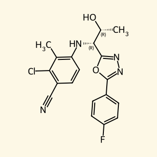 Cc1c(N[C@@H](c2nnc(-c3ccc(F)cc3)o2)[C@@H](C)O)ccc(C#N)c1Cl